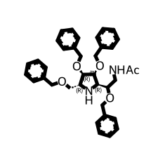 CC(=O)NCC(OCc1ccccc1)[C@H]1N[C@H](COCc2ccccc2)[C@@H](OCc2ccccc2)[C@@H]1OCc1ccccc1